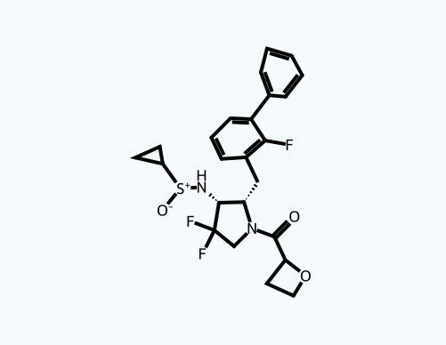 O=C(C1CCO1)N1CC(F)(F)[C@H](N[S+]([O-])C2CC2)[C@@H]1Cc1cccc(-c2ccccc2)c1F